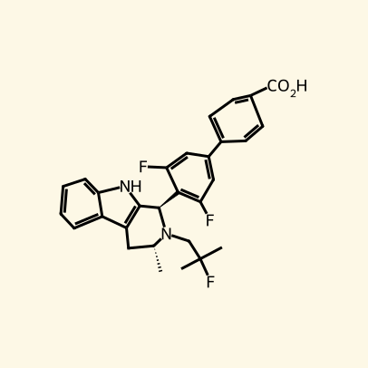 C[C@@H]1Cc2c([nH]c3ccccc23)[C@@H](c2c(F)cc(-c3ccc(C(=O)O)cc3)cc2F)N1CC(C)(C)F